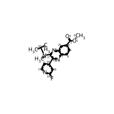 COC(=O)c1ccc2nc(-c3ccnc(F)c3)c(N(C)C(C)C)nc2c1